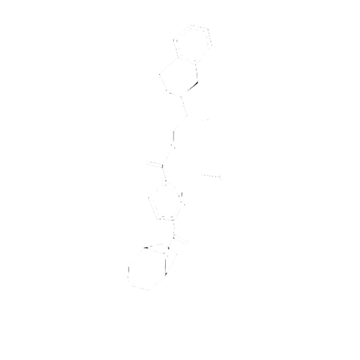 CCOc1nc(C(=O)N2C3CCC2COC3)ccc1C(=O)NC[C@@H](O)[C@@H]1Cc2ccccc2CN1